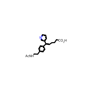 CC(=O)NCCc1ccc(C(=CCCCC(=O)O)c2cccnc2)cc1